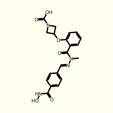 CN(N=Cc1ccc(C(=O)NO)cc1)C(=O)c1ccccc1OC1CN(C(=O)O)C1